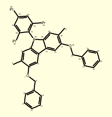 Cc1cc2c(cc1OCc1ccccc1)-c1cc(OCc3ccccc3)c(C)cc1B2c1c(C(C)C)cc(C(C)C)cc1C(C)C